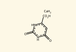 O=C(O)c1cc(=O)[nH]c(=O)[nH]1.[CaH2]